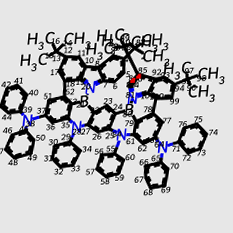 CC(C)(C)c1ccc2c(c1)c1cc(C(C)(C)C)cc3c1n2B1c2cc4c(cc2N(c2ccccc2)c2cc(N(c5ccccc5)c5ccccc5)cc-3c21)N(c1ccccc1)c1cc(N(c2ccccc2)c2ccccc2)cc2c1B4n1c3ccc(C(C)(C)C)cc3c3cc(C(C)(C)C)cc-2c31